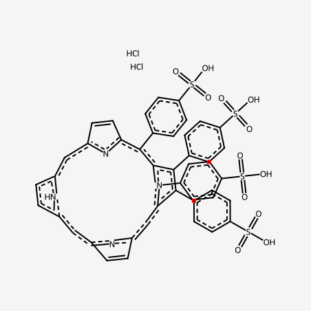 Cl.Cl.O=S(=O)(O)c1ccc(-c2c(-c3ccc(S(=O)(=O)O)cc3)c3c(-c4ccc(S(=O)(=O)O)cc4)c4nc(cc5ccc(cc6nc(cc2n3-c2ccc(S(=O)(=O)O)cc2)C=C6)[nH]5)C=C4)cc1